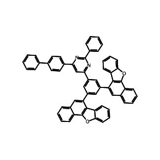 c1ccc(-c2ccc(-c3cc(-c4cc(-c5cc6ccccc6c6oc7ccccc7c56)cc(-c5cc6ccccc6c6oc7ccccc7c56)c4)nc(-c4ccccc4)n3)cc2)cc1